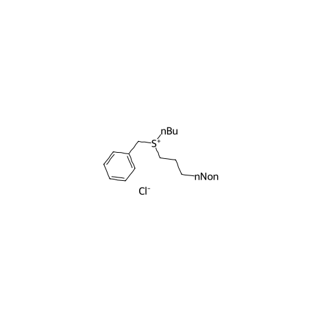 CCCCCCCCCCCC[S+](CCCC)Cc1ccccc1.[Cl-]